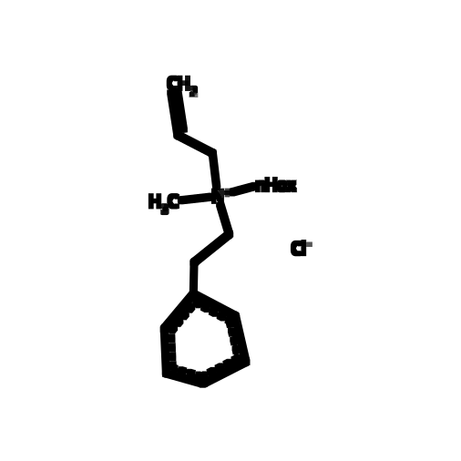 C=CC[N+](C)(CCCCCC)CCc1ccccc1.[Cl-]